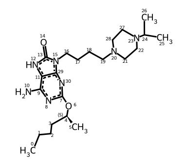 CCCC[C@H](C)Oc1nc(N)c2[nH]c(=O)n(CCCCN3CCN(C(C)C)CC3)c2n1